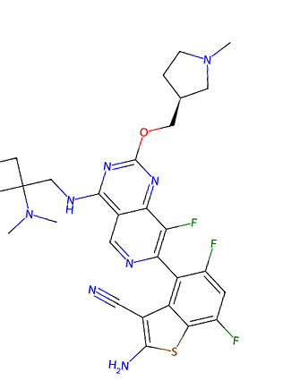 CN1CC[C@H](COc2nc(NCC3(N(C)C)CCC3)c3cnc(-c4c(F)cc(F)c5sc(N)c(C#N)c45)c(F)c3n2)C1